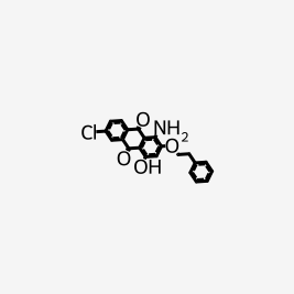 Nc1c(OCCc2ccccc2)cc(O)c2c1C(=O)c1ccc(Cl)cc1C2=O